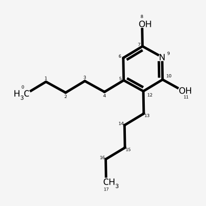 CCCCCc1cc(O)nc(O)c1CCCCC